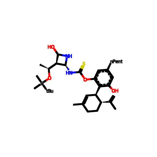 C=C(C)[C@@H]1CCC(C)=C[C@H]1c1c(O)cc(CCCCC)cc1OC(=S)N[C@H]1NC(O)[C@@H]1[C@@H](C)O[Si](C)(C)C(C)(C)C